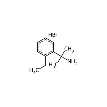 Br.CCc1ccccc1C(C)(C)N